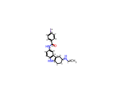 CCNC1CCc2[nH]c3ccc(NC(=O)c4ccc(I)cc4)cc3c2C1